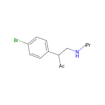 CC(=O)C(CNC(C)C)c1ccc(Br)cc1